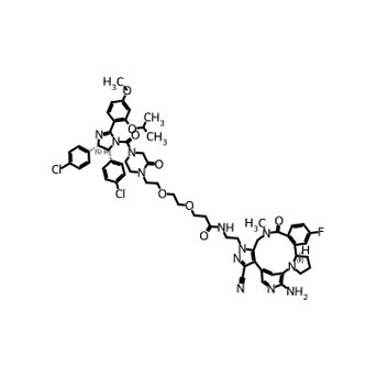 COc1ccc(C2=N[C@@H](c3ccc(Cl)cc3)[C@@H](c3ccc(Cl)cc3)N2C(=O)N2CCN(CCOCCOCCC(=O)NCCn3nc(C#N)c4c3CN(C)C(=O)c3ccc(F)cc3[C@H]3CCCN3c3cc-4cnc3N)C(=O)C2)c(OC(C)C)c1